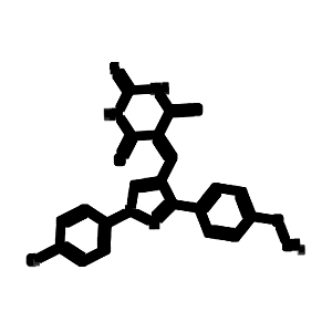 COc1ccc(-c2nn(-c3ccc(Cl)cc3)cc2C=C2C(=O)NC(=S)NC2=O)cc1